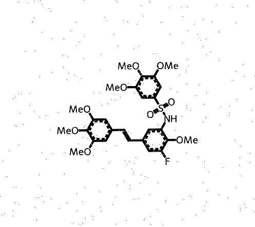 COc1cc(C=Cc2cc(F)c(OC)c(NS(=O)(=O)c3cc(OC)c(OC)c(OC)c3)c2)cc(OC)c1OC